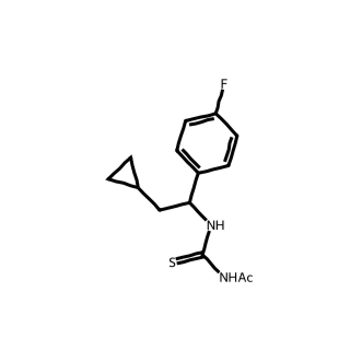 CC(=O)NC(=S)NC(CC1CC1)c1ccc(F)cc1